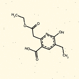 CCOC(=O)Cc1nc(O)c(CC)cc1C(=O)O